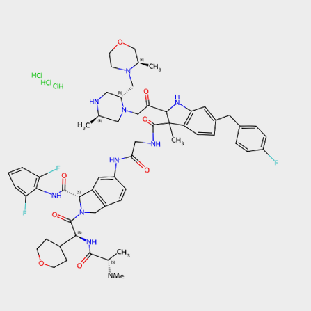 CN[C@@H](C)C(=O)N[C@H](C(=O)N1Cc2ccc(NC(=O)CNC(=O)C3(C)c4ccc(Cc5ccc(F)cc5)cc4NC3C(=O)CN3C[C@@H](C)NC[C@@H]3CN3CCOC[C@H]3C)cc2[C@H]1C(=O)Nc1c(F)cccc1F)C1CCOCC1.Cl.Cl.Cl